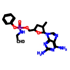 CC1CC(COP(=O)(NCC=O)Oc2ccccc2)OC1n1cnc2c(N)nc(N)nc21